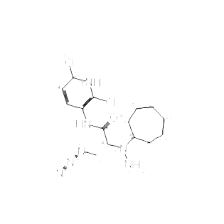 [N-]=[N+]=NC[C@H](C(=O)NC1=C(Cl)NC(Cl)C=C1)N(N)C1CCCCCC1